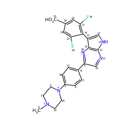 CN1CCN(c2ccc(-c3cnc4[nH]cc(-c5c(F)cc(C(=O)O)cc5F)c4n3)cc2)CC1